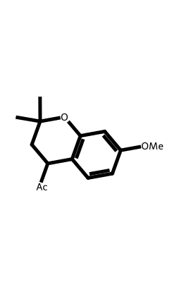 COc1ccc2c(c1)OC(C)(C)CC2C(C)=O